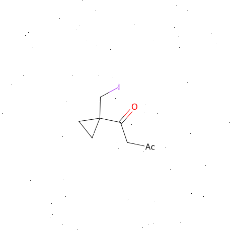 CC(=O)CC(=O)C1(CI)CC1